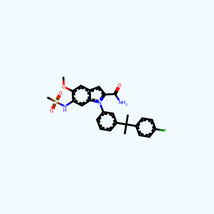 COc1cc2cc(C(N)=O)n(-c3cccc(C(C)(C)c4ccc(F)cc4)c3)c2cc1NS(C)(=O)=O